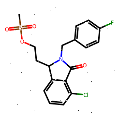 CS(=O)(=O)OCCC1c2cccc(Cl)c2C(=O)N1Cc1ccc(F)cc1